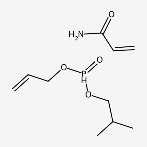 C=CC(N)=O.C=CCO[PH](=O)OCC(C)C